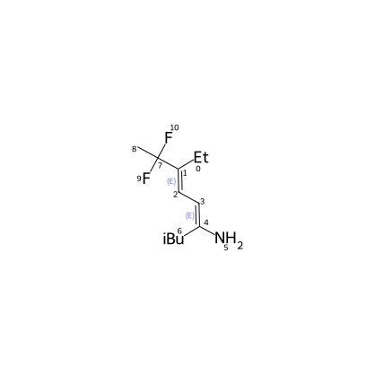 CC/C(=C\C=C(\N)C(C)CC)C(C)(F)F